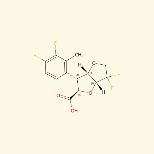 Cc1c([C@@H]2[C@@H]3OCC(F)(F)[C@@H]3O[C@H]2C(=O)O)ccc(F)c1F